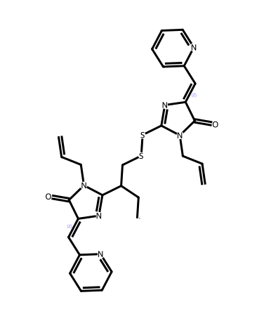 [CH2]CC(CSSC1=N/C(=C\c2ccccn2)C(=O)N1CC=C)C1=N/C(=C\c2ccccn2)C(=O)N1CC=C